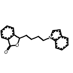 O=C1OC(CCCCn2ccc3ccccc32)c2ccccc21